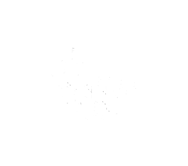 Cc1ccccc1S(=O)(=O)NC(=O)NC(Cc1cc(F)cc(F)c1)c1ncccc1-c1ccc2cn(C)nc2c1